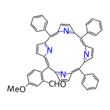 COc1ccc(C2=C3C=CC(=N3)C(c3ccccc3)=C3C=CC(=N3)C(c3ccccc3)=C3C=CC(=N3)C(c3ccccc3)=C3C=CC2=N3)c(C=O)c1